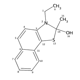 CCN1c2ccc3ccccc3c2SC1(C)O